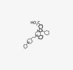 O=C(O)c1ccc2c(C3CCCCC3)c3n(c2c1)CCN(CCC1CCN(C2CCCC2)CC1)c1ccccc1-3